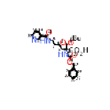 CC(C)(C)OC(=O)[C@@](CCCCNC(=O)c1cccnc1)(NC(=O)OCc1ccccc1)C(=O)O